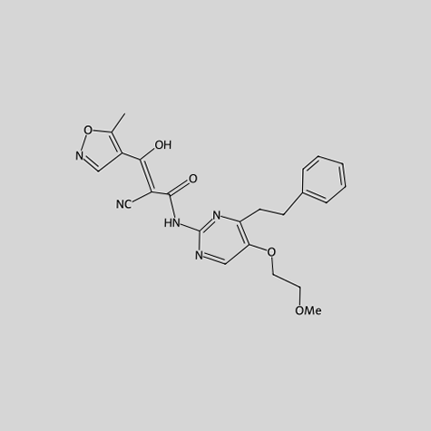 COCCOc1cnc(NC(=O)/C(C#N)=C(\O)c2cnoc2C)nc1CCc1ccccc1